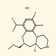 COC[C@@H]1C[C@@H]2CNCCN2c2c(F)c(F)cc(C(F)F)c2O1.Cl